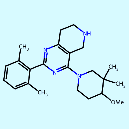 COC1CCN(c2nc(-c3c(C)cccc3C)nc3c2CNCC3)CC1(C)C